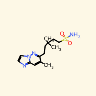 Cc1cc2nccn2nc1CCC(C)(C)CCS(N)(=O)=O